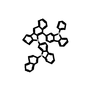 c1ccc(-n2c3ccccc3c3ccc(-c4c5ccccc5cc5c6ccccc6n(-c6ccc7c8ccccc8n(-c8ccc9ccccc9c8)c7c6)c45)cc32)cc1